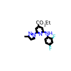 CCOC(=O)c1cc(Nc2ccc(F)cc2F)nc(-n2ccc(C)n2)c1